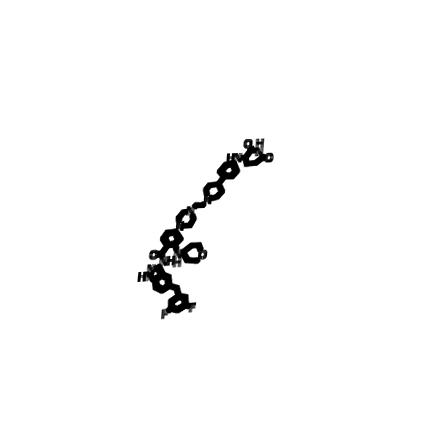 O=C1CCC(Nc2ccc(C3CCN(CCN4CCN(c5ccc(C(=O)Nc6n[nH]c7ccc(Cc8cc(F)cc(F)c8)cc67)c(NC6CCOCC6)c5)CC4)CC3)cc2)C(=O)N1